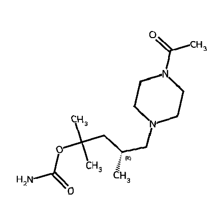 CC(=O)N1CCN(C[C@H](C)CC(C)(C)OC(N)=O)CC1